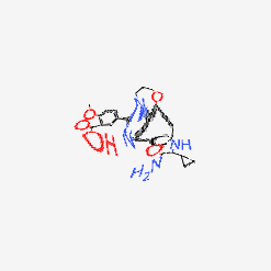 COc1ccc(-c2nc3cc(N[C@H](C(N)=O)C4CC4)cc4c3n2CCCO4)cc1C(=O)O